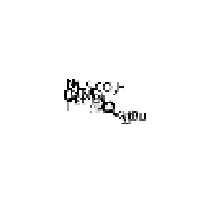 CCN1C(O[C@H](C)c2ccc(CO[Si](C)(C)C(C)(C)C)cc2Cl)=C(C(=O)O)SC1c1cnc2ccc(I)cn12